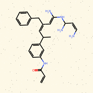 C=CC(=O)Nc1cccc(C(C)/C=C(\C=C(/N)NC(N)/C=C\N)Cc2ccccc2)c1